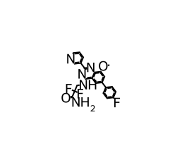 COc1cc(-c2ccc(F)cc2)cc2c(NCC(F)(F)C(N)=O)nc(-c3cccnc3)nc12